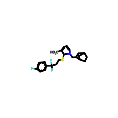 O=C(O)C1=CC=CN(CC2CC3CCC2C3)C1SCCC(F)(F)c1ccc(F)cc1